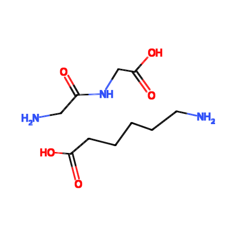 NCC(=O)NCC(=O)O.NCCCCCC(=O)O